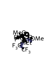 CC/C=C(\C=C(\C)CC1=CCC=C(OC)C(c2cnc(N3CC(F)(F)C3)nc2CN2C(=O)O[C@H](/C(C)=C/C(=C\CC(F)(F)F)C(F)(F)F)[C@@H]2C)=C1)C(=O)OC